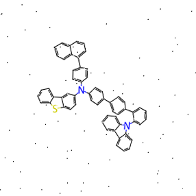 c1ccc(-n2c3ccccc3c3ccccc32)c(-c2ccc(-c3ccc(N(c4ccc(-c5cccc6ccccc56)cc4)c4ccc5sc6ccccc6c5c4)cc3)cc2)c1